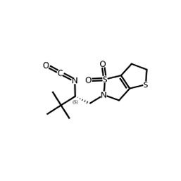 CC(C)(C)[C@@H](CN1CC2=C(CCS2)S1(=O)=O)N=C=O